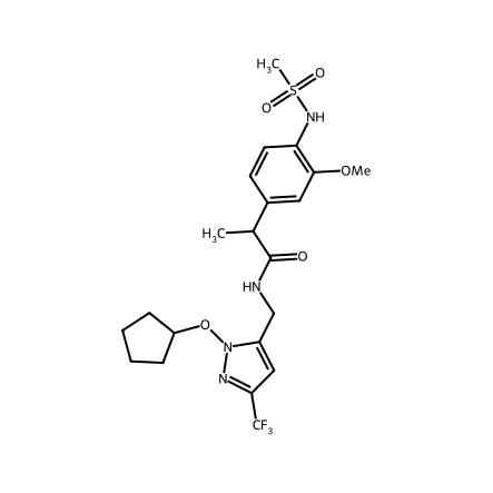 COc1cc(C(C)C(=O)NCc2cc(C(F)(F)F)nn2OC2CCCC2)ccc1NS(C)(=O)=O